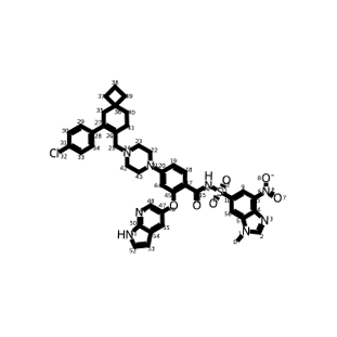 Cn1cnc2c([N+](=O)[O-])cc(S(=O)(=O)NC(=O)c3ccc(N4CCN(CC5=C(c6ccc(Cl)cc6)CC6(CCC6)CC5)CC4)cc3Oc3cnc4[nH]ccc4c3)cc21